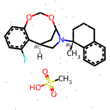 CS(=O)(=O)O.C[C@@]1(N2C[C@@H]3CC2OCOc2cccc(F)c23)CCCc2ccccc21